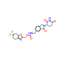 O=C1CCC(N2Cc3ccc(CNC(=O)OCc4nc5c(s4)CC(F)(F)CC5)cc3C2=O)C(=O)N1